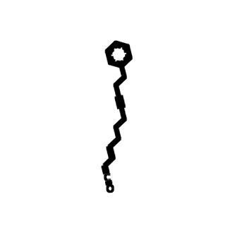 O=C=CC=CCCCC#CCCc1ccccc1